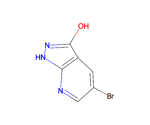 Oc1n[nH]c2ncc(Br)cc12